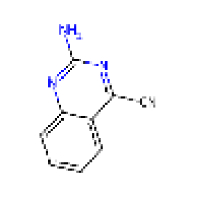 N#Cc1nc(N)nc2ccccc12